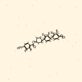 CCCc1ccc(C(=O)OC2CC=C(c3ccc(-c4ccc(OCC)c(F)c4F)c(F)c3F)CC2)c(F)c1F